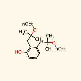 CCCCCCCCOC(C)(C)Cc1cccc(O)c1CC(C)(C)OCCCCCCCC